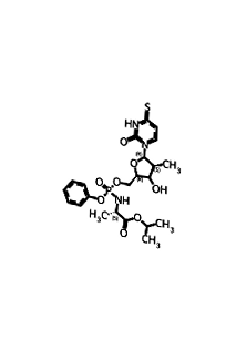 CC(C)OC(=O)[C@H](C)NP(=O)(OC[C@H]1O[C@@H](n2ccc(=S)[nH]c2=O)[C@@H](C)C1O)Oc1ccccc1